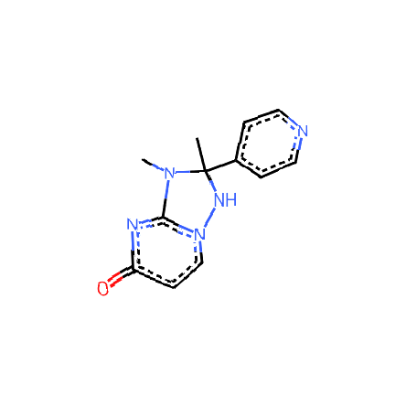 CN1c2nc(=O)ccn2NC1(C)c1ccncc1